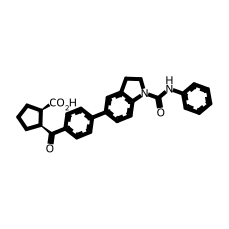 O=C(c1ccc(-c2ccc3c(c2)CCN3C(=O)Nc2ccccc2)cc1)[C@H]1CCC[C@H]1C(=O)O